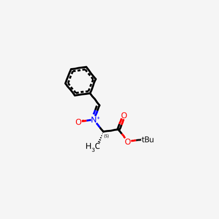 C[C@@H](C(=O)OC(C)(C)C)[N+]([O-])=Cc1ccccc1